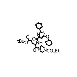 CCOC(=O)N1CCN(C(=O)C(CCC(=O)OC(C)(C)C)NC(=O)c2cc(OC3CCCCC3)nc(-c3ccccc3)n2)CC1